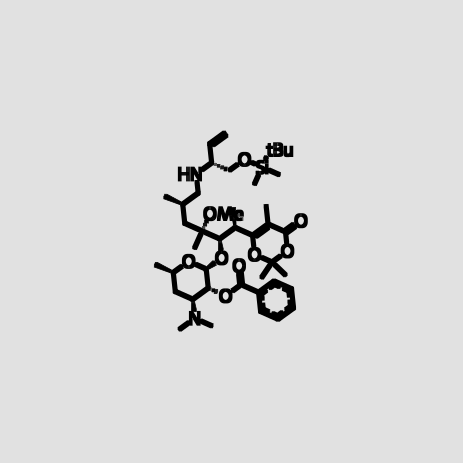 C=C[C@H](CO[Si](C)(C)C(C)(C)C)NC[C@H](C)C[C@@](C)(OC)[C@H](O[C@@H]1O[C@H](C)C[C@H](N(C)C)[C@H]1OC(=O)c1ccccc1)[C@@H](C)C1=C(C)C(=O)OC(C)(C)O1